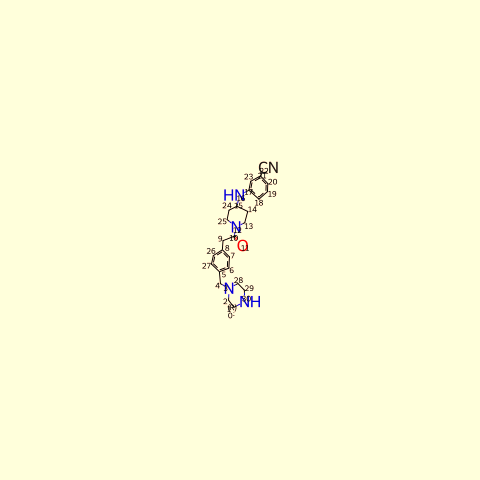 C[C@@H]1CN(Cc2ccc(CC(=O)N3CCC(Nc4cccc(C#N)c4)CC3)cc2)CCN1